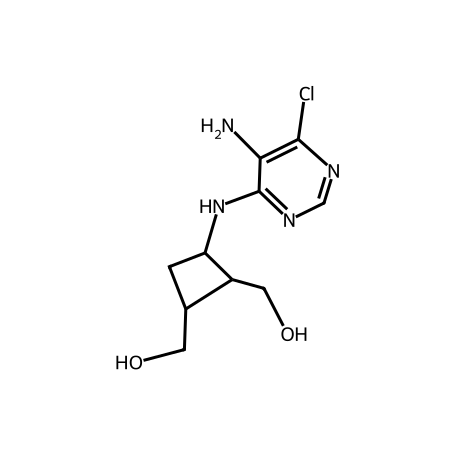 Nc1c(Cl)ncnc1NC1CC(CO)C1CO